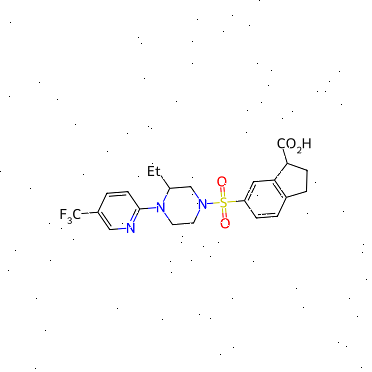 CCC1CN(S(=O)(=O)c2ccc3c(c2)C(C(=O)O)CC3)CCN1c1ccc(C(F)(F)F)cn1